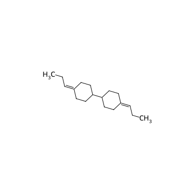 CCC=C1CCC(C2CCC(=CCC)CC2)CC1